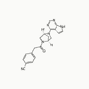 N#Cc1ccc(CC(=O)N2C[C@@H]3C[C@H]2CN3c2ncnc3[nH]ccc23)cc1